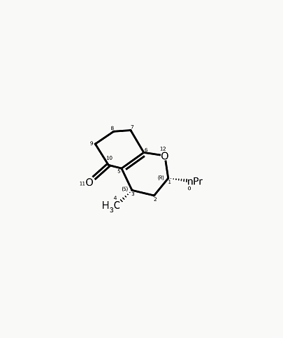 CCC[C@@H]1C[C@H](C)C2=C(CCCC2=O)O1